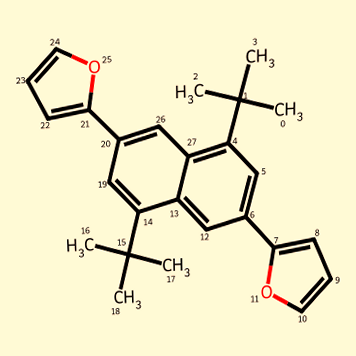 CC(C)(C)c1cc(-c2ccco2)cc2c(C(C)(C)C)cc(-c3ccco3)cc12